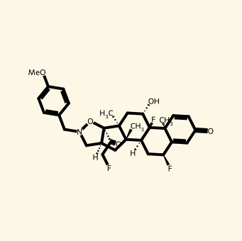 COc1ccc(CN2C[C@@H]3C[C@@]4(C)[C@@H]5C[C@H](F)C6=CC(=O)C=C[C@]6(C)[C@@]5(F)[C@@H](O)C[C@]4(C)[C@]3(C(=O)CF)O2)cc1